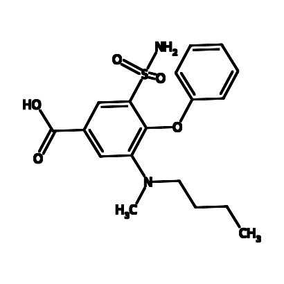 CCCCN(C)c1cc(C(=O)O)cc(S(N)(=O)=O)c1Oc1ccccc1